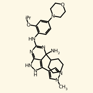 CC(C)Oc1cc(N2CCOCC2)ccc1NC1=NC(N)(C2CCCCC2)C2=C(c3cnn(C)c3)NNC2=N1